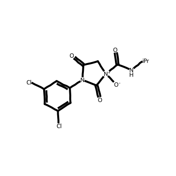 CC(C)NC(=O)[N+]1([O-])CC(=O)N(c2cc(Cl)cc(Cl)c2)C1=O